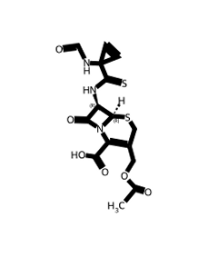 CC(=O)OCC1=C(C(=O)O)N2C(=O)[C@@H](NC(=S)C3(NC=O)C#C3)[C@H]2SC1